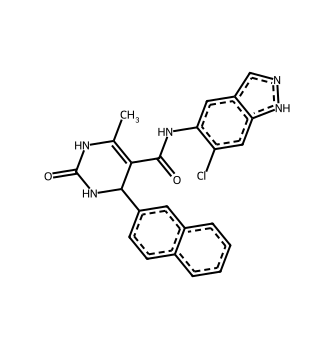 CC1=C(C(=O)Nc2cc3cn[nH]c3cc2Cl)C(c2ccc3ccccc3c2)NC(=O)N1